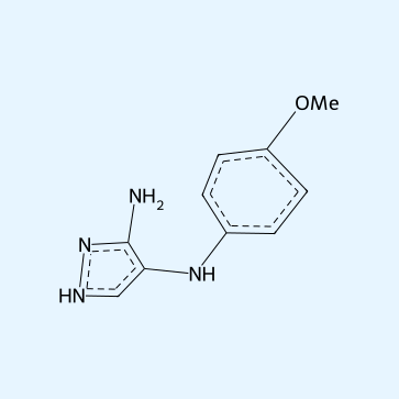 COc1ccc(Nc2c[nH]nc2N)cc1